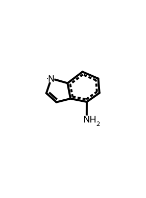 Nc1cccc2c1C=C[N]2